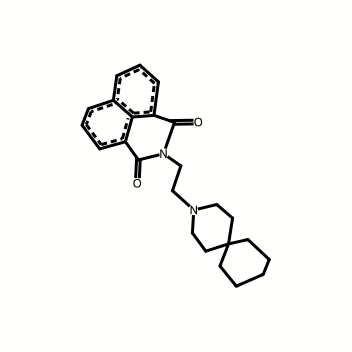 O=C1c2cccc3cccc(c23)C(=O)N1CCN1CCC2(CCCCC2)CC1